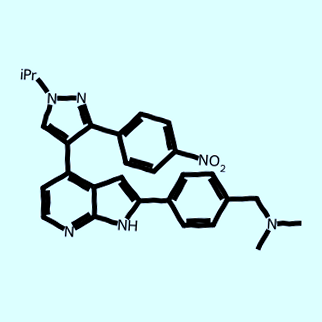 CC(C)n1cc(-c2ccnc3[nH]c(-c4ccc(CN(C)C)cc4)cc23)c(-c2ccc([N+](=O)[O-])cc2)n1